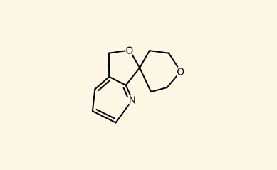 c1cnc2c(c1)COC21CCOCC1